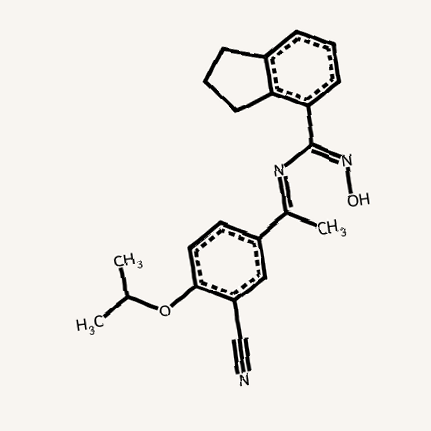 C/C(=N\C(=N/O)c1cccc2c1CCC2)c1ccc(OC(C)C)c(C#N)c1